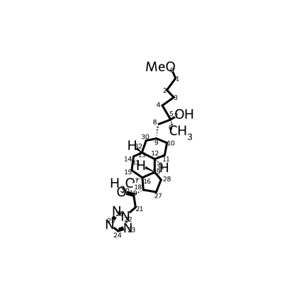 COCCCC[C@@](C)(O)C[C@@H]1CC[C@@H]2[C@H](CC[C@]3(C)[C@@H](C(=O)Cn4ncnn4)CC[C@@H]23)C1